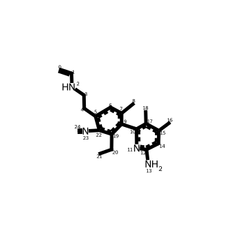 C=CNCCc1cc(C)c(-c2nc(N)cc(C)c2C)c(CC)c1N=C